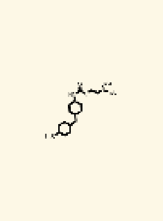 CCCCN(CCCC)CCOC(=O)NC1CCC(CC2CCC(C)CC2)CC1